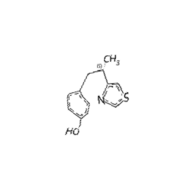 C[C@@H](Cc1ccc(O)cc1)c1cscn1